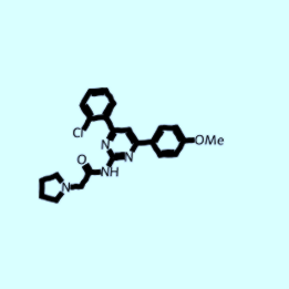 COc1ccc(-c2cc(-c3ccccc3Cl)nc(NC(=O)CN3CCCC3)n2)cc1